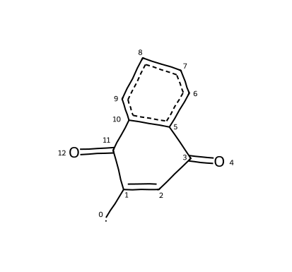 [CH2]C1=CC(=O)c2ccccc2C1=O